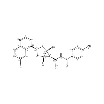 CC[C@@H](NC(=O)c1ccc(C#N)cc1)[C@H]1[C@@H]2C[C@@H](c3ccnc4ccc(F)cc34)C[C@@H]21